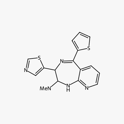 CNC1Nc2ncccc2C(c2cccs2)=NC1c1cncs1